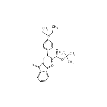 CCN(CC)c1ccc([C@@H](CN2C(=O)c3ccccc3C2=O)NC(=O)OC(C)(C)C)cc1